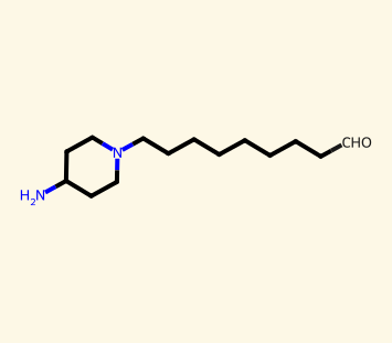 NC1CCN(CCCCCCCCC=O)CC1